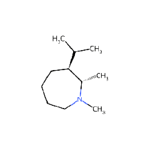 CC(C)[C@@H]1CCCCN(C)[C@H]1C